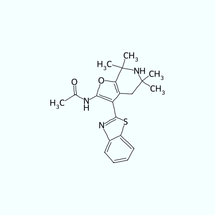 CC(=O)Nc1oc2c(c1-c1nc3ccccc3s1)CC(C)(C)NC2(C)C